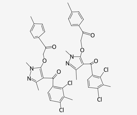 Cc1ccc(C(=O)COc2c(C(=O)c3ccc(Cl)c(C)c3Cl)c(C)nn2C)cc1.Cc1ccc(C(=O)COc2c(C(=O)c3ccc(Cl)c(C)c3Cl)c(C)nn2C)cc1